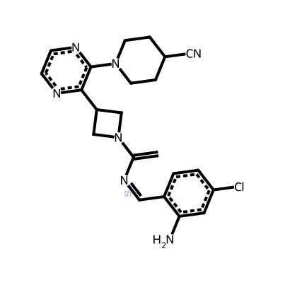 C=C(/N=C\c1ccc(Cl)cc1N)N1CC(c2nccnc2N2CCC(C#N)CC2)C1